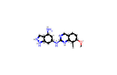 COc1ccc2cnc(Nc3cc(N)c4cn[nH]c4c3)nc2c1C